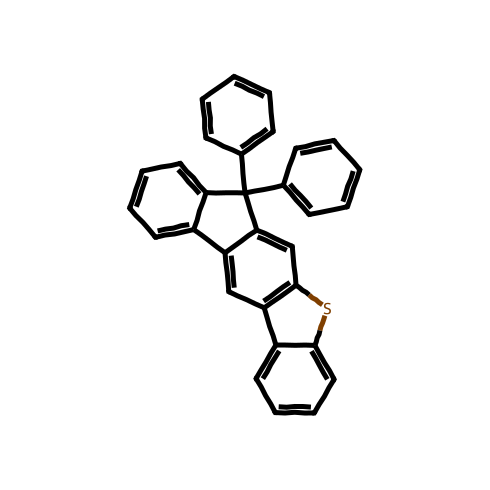 c1ccc(C2(c3ccccc3)c3ccccc3-c3cc4c(cc32)sc2ccccc24)cc1